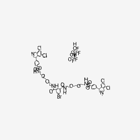 CN1Cc2c(Cl)cc(Cl)cc2C(c2ccc(S(=O)(=O)NCCOCCOCCNC(=O)c3cc(Br)cc(C(=O)NCCOCCOCCNS(=O)(=O)c4ccc(C5CN(C)Cc6c(Cl)cc(Cl)cc65)cc4)c3)cc2)C1.O=C(O)C(F)(F)F.O=C(O)C(F)(F)F